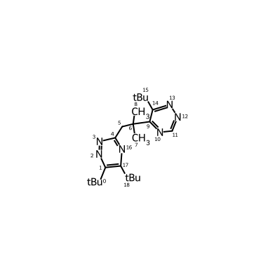 CC(C)(C)c1nnc(CC(C)(C)c2ncnnc2C(C)(C)C)nc1C(C)(C)C